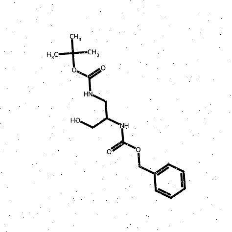 CC(C)(C)OC(=O)NCC(CO)NC(=O)OCc1ccccc1